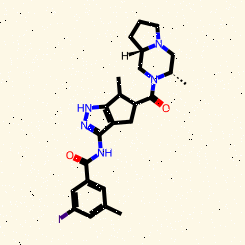 Cc1cc(I)cc(C(=O)Nc2n[nH]c3c2CC(C(=O)N2C[C@@H]4CCCN4C[C@@H]2C)C3C)c1